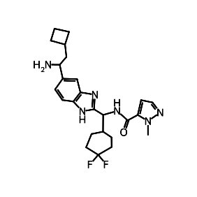 Cn1nccc1C(=O)NC(c1nc2cc(C(N)CC3CCC3)ccc2[nH]1)C1CCC(F)(F)CC1